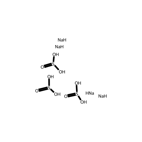 O=S(O)O.O=S(O)O.O=S(O)O.[NaH].[NaH].[NaH].[NaH]